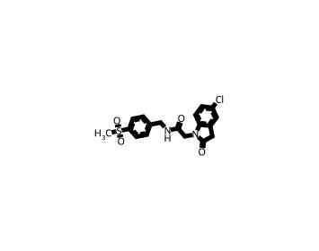 CS(=O)(=O)c1ccc(CNC(=O)CN2C(=O)Cc3cc(Cl)ccc32)cc1